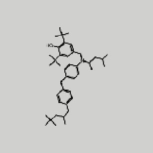 CC(C)CC(C)N(Cc1cc(C(C)(C)C)c(O)c(C(C)(C)C)c1)c1ccc(Cc2ccc(CC(C)CC(C)(C)C)cc2)cc1